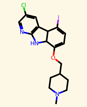 CN1CCC(COC2=CC=C(I)C3c4cc(Cl)cnc4NC23)CC1